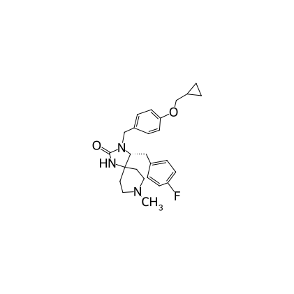 CN1CCC2(CC1)NC(=O)N(Cc1ccc(OCC3CC3)cc1)[C@@H]2Cc1ccc(F)cc1